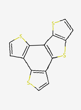 c1cc2c(s1)c1ccsc1c1c3sccc3sc21